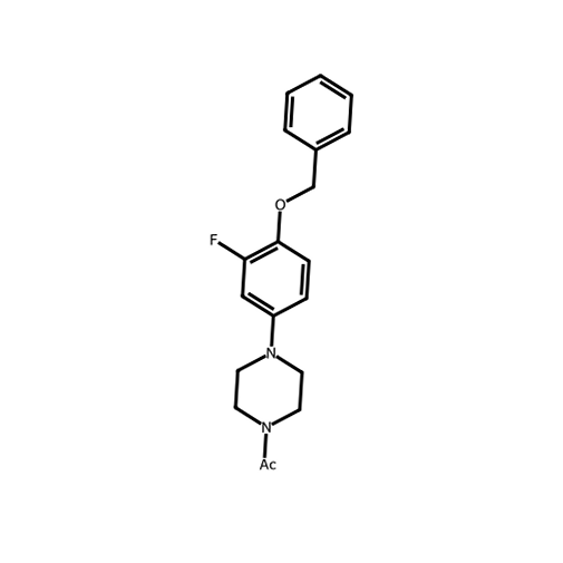 CC(=O)N1CCN(c2ccc(OCc3ccccc3)c(F)c2)CC1